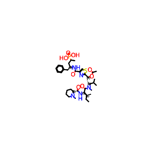 CC[C@H](C)[C@H](NC(=O)[C@H]1CCCCN1C)C(=O)N(C)[C@H](C[C@@H](OC(C)=O)c1nc(C(=O)N[C@@H](Cc2ccccc2)CC(C)P(=O)(O)O)cs1)C(C)C